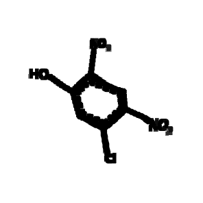 O=[N+]([O-])c1cc([N+](=O)[O-])c(Cl)cc1O